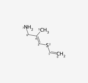 C=CS/C=C(\C)CN